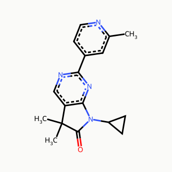 Cc1cc(-c2ncc3c(n2)N(C2CC2)C(=O)C3(C)C)ccn1